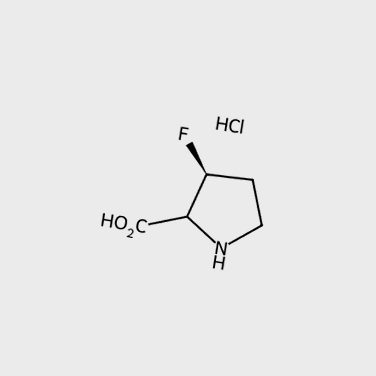 Cl.O=C(O)C1NCC[C@@H]1F